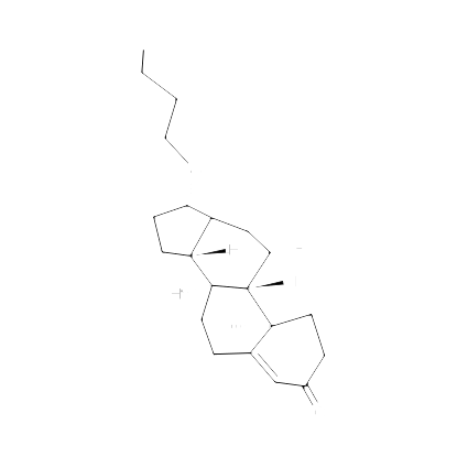 CCCCO[C@H]1CC[C@H]2[C@@H]3CCC4=CC(=O)CC[C@]4(C)[C@H]3[C@@H](F)C[C@]12C